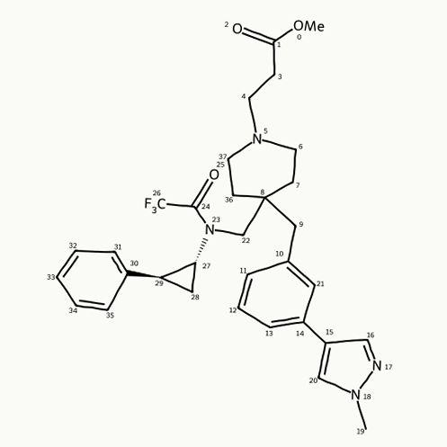 COC(=O)CCN1CCC(Cc2cccc(-c3cnn(C)c3)c2)(CN(C(=O)C(F)(F)F)[C@@H]2C[C@H]2c2ccccc2)CC1